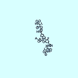 COC(=O)NC(C(=O)N1CCC[C@H]1c1ncc(-c2ccc3c(c2)cc2n3C(c3coc(C4CC4)n3)Oc3cc(-c4cnc([C@@H]5CCCN5C(=O)[C@@H](NC(=O)OC)C(C)C)[nH]4)cc(F)c3-2)[nH]1)C(C)C